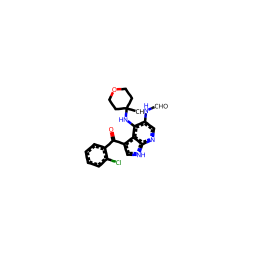 CC1(Nc2c(NC=O)cnc3[nH]cc(C(=O)c4ccccc4Cl)c23)CCOCC1